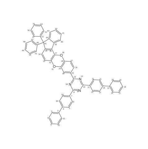 c1ccc(-c2ccc(-c3nc(-c4ccc(-c5ccccc5)cc4)nc(-c4ccc5c(c4)Oc4ccc6c(c4O5)-c4ccccc4C6(c4ccccc4)c4ccccc4)n3)cc2)cc1